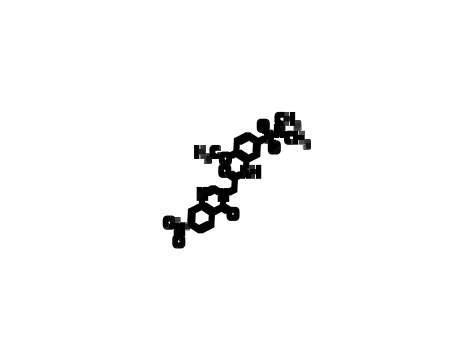 COc1ccc(S(=O)(=O)N(C)C)cc1NC(=O)Cn1cnc2cc([N+](=O)[O-])ccc2c1=O